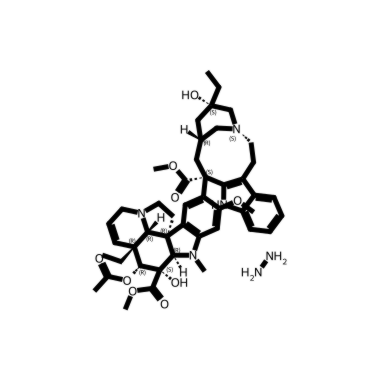 CC[C@]1(O)C[C@@H]2C[N@@](CCc3c([nH]c4ccccc34)[C@@](C(=O)OC)(c3cc4c(cc3OC)N(C)[C@H]3[C@@](O)(C(=O)OC)[C@H](OC(C)=O)[C@]5(CC)C=CCN6CC[C@]43[C@@H]65)C2)C1.NN